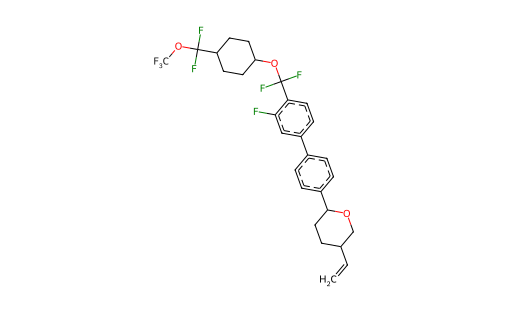 C=CC1CCC(c2ccc(-c3ccc(C(F)(F)OC4CCC(C(F)(F)OC(F)(F)F)CC4)c(F)c3)cc2)OC1